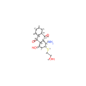 Nc1c(SCCO)cc(O)c2c1C(=O)c1ccccc1C2=O